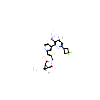 Cc1cc(C2CC(F)(F)C2)nc(-c2ccnc3cc(CN4C(=O)C5C(C4=O)C5(C)C)sc23)c1C(N)=O